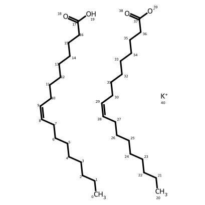 CCCCCCCC/C=C\CCCCCCCC(=O)O.CCCCCCCC/C=C\CCCCCCCC(=O)[O-].[K+]